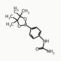 CC1(C)OB(c2ccc(NC(N)=O)cc2)OC1(C)C